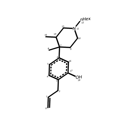 C=CCc1ccc(C2(C)CCN(CCCCCC)CC2C)cc1O